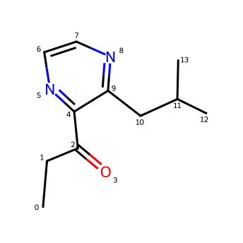 CCC(=O)c1nccnc1CC(C)C